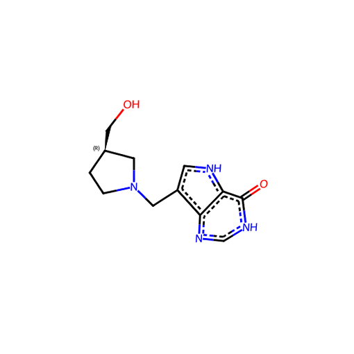 O=c1[nH]cnc2c(CN3CC[C@@H](CO)C3)c[nH]c12